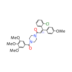 COc1ccc(/C(=C/C(=O)N2CCN(C(=O)c3cc(OC)c(OC)c(OC)c3)CC2)c2ccccc2Cl)cc1